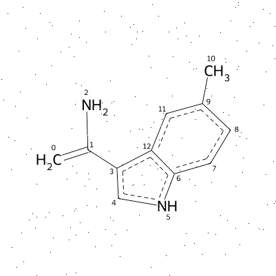 C=C(N)c1c[nH]c2ccc(C)cc12